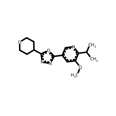 COc1cc(-c2nnc(C3CCOCC3)o2)cnc1C(C)C